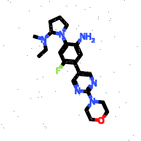 CCN(C)C1CCCN1c1cc(F)c(-c2cnc(N3CCOCC3)nc2)cc1N